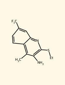 CCSc1nc2cc(C(F)(F)F)ccc2c(C)c1N